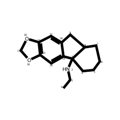 CCNC12CCCCC1Cc1cc3c(cc12)OCO3